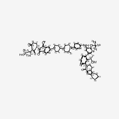 [2H]C([2H])([2H])Oc1ncc(-c2ccnc(N3CCc4c(sc5c4CCCC5)C3=O)c2[C@@H](C)O)cc1Nc1ccc(N2CCN(C3CCN(c4ccc5c(c4)C(=O)N([C@H]4CCC(=O)N(C(C)OP(=O)(O)O)C4=O)C5=O)CC3)C[C@@H]2C)cn1